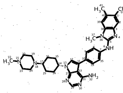 Cc1cc2nc(Nc3ccc(-c4cn([C@H]5CC[C@H](N6CCN(C)CC6)CC5)c5ncnc(N)c45)cc3)n(C)c2cc1C